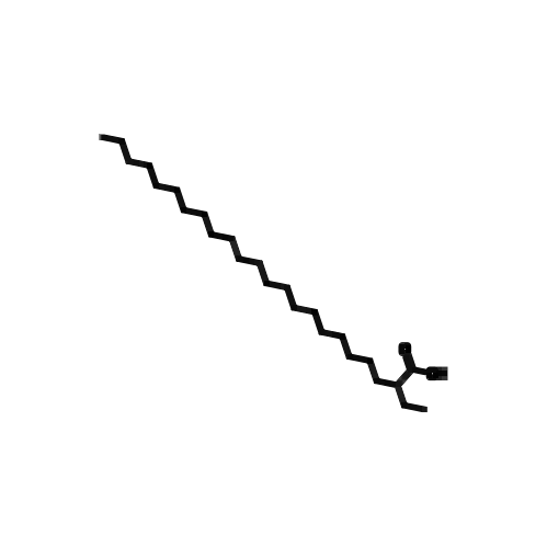 CCCCCCCCCCCCCCCCCCCCCC(CC)C(=O)O